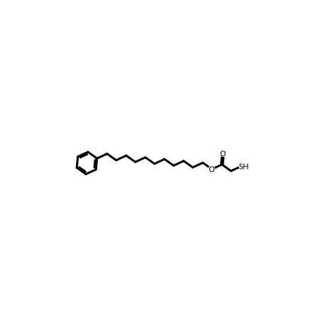 O=C(CS)OCCCCCCCCCCCc1ccccc1